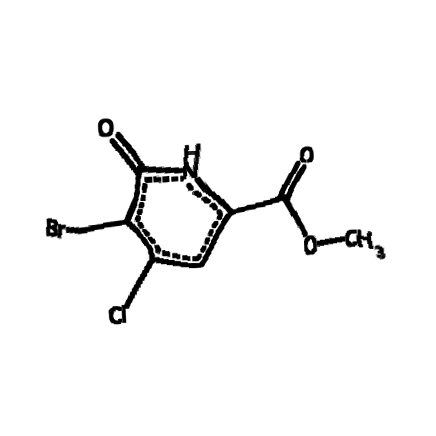 COC(=O)c1cc(Cl)c(Br)c(=O)[nH]1